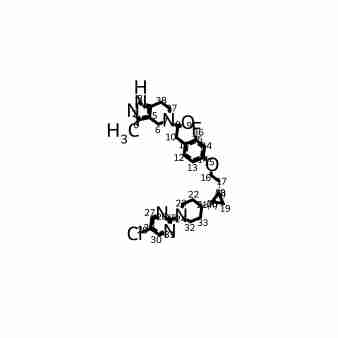 Cc1n[nH]c2c1CN(C(=O)Cc1ccc(OCC[C@@H]3C[C@@H]3C3CCN(c4ncc(Cl)cn4)CC3)cc1F)CC2